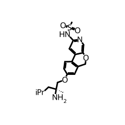 CC(C)C[C@](C)(N)COc1ccc2c(c1)COc1cnc(NS(C)(=O)=O)cc1-2